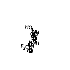 O=S(=O)(NCCO)c1ccc(Nc2ncc(C(F)(F)F)c(-n3cccn3)n2)cn1